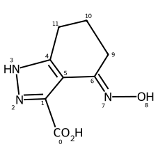 O=C(O)c1n[nH]c2c1C(=NO)CCC2